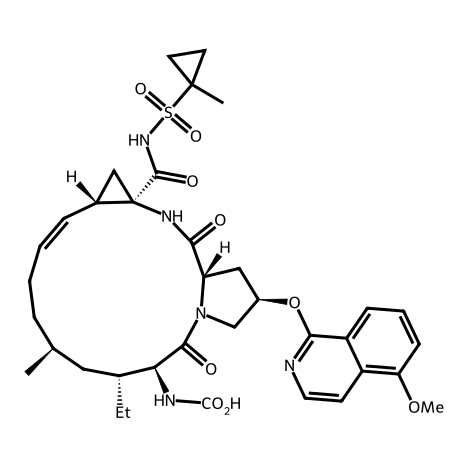 CC[C@@H]1C[C@@H](C)CCC=C[C@@H]2C[C@@]2(C(=O)NS(=O)(=O)C2(C)CC2)NC(=O)[C@@H]2C[C@@H](Oc3nccc4c(OC)cccc34)CN2C(=O)[C@H]1NC(=O)O